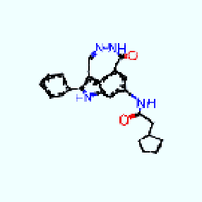 O=C(CC1CCCC1)Nc1cc2c3c(c(-c4ccccc4)[nH]c3c1)C=NNC2=O